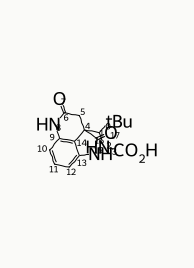 CC(C)(C)C(NC(=O)O)C12CC(=O)Nc3cccc(c31)NC2=O